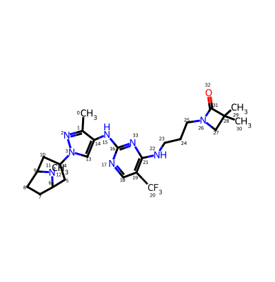 Cc1nn(C2CC3CCC(C2)N3C)cc1Nc1ncc(C(F)(F)F)c(NCCCN2CC(C)(C)C2=O)n1